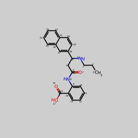 CCCNC(CC(=O)Nc1ccccc1C(=O)O)c1ccc2ccccc2c1